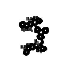 Cc1cc2c(cc1C(C)(C)c1ccccc1CCc1ccc3c4ccc(N5c6ccccc6C(C)(C)c6cc7c(cc65)C(C)(C)c5ccccc5-7)cc4c4ccccc4c3c1)-c1ccccc1C2(C)C